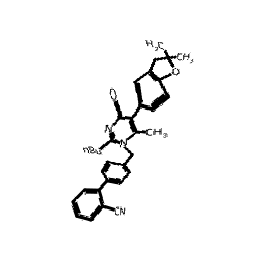 CCCCc1nc(=O)c(-c2ccc3c(c2)CC(C)(C)O3)c(C)n1Cc1ccc(-c2ccccc2C#N)cc1